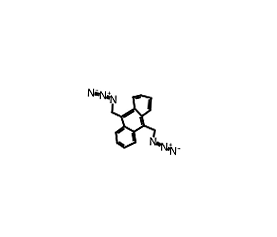 [N-]=[N+]=NCc1c2ccccc2c(CN=[N+]=[N-])c2ccccc12